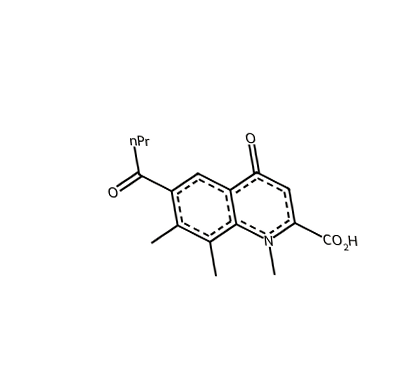 CCCC(=O)c1cc2c(=O)cc(C(=O)O)n(C)c2c(C)c1C